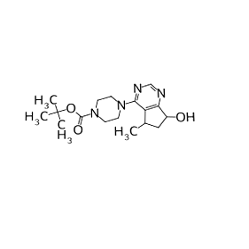 CC1CC(O)c2ncnc(N3CCN(C(=O)OC(C)(C)C)CC3)c21